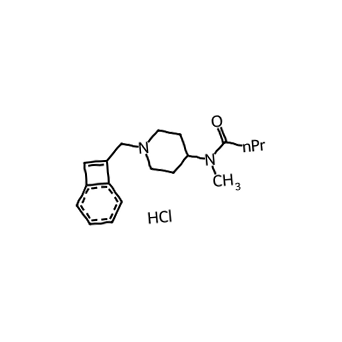 CCCC(=O)N(C)C1CCN(CC2=Cc3ccccc32)CC1.Cl